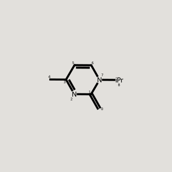 C=C1N=C(C)C=CN1C(C)C